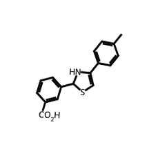 Cc1ccc(C2=CSC(c3cccc(C(=O)O)c3)N2)cc1